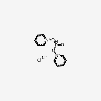 O=[PH](O[n+]1ccccc1)O[n+]1ccccc1.[Cl-].[Cl-]